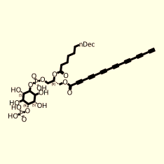 C#CC#CC#CC#CC#CC#CC#CC(=O)OC[C@H](COP(=O)(O)OC1C(O)[C@H](O)[C@H](OP(=O)(O)O)C(O)[C@@H]1O)OC(=O)CCCCCCCCCCCCCCC